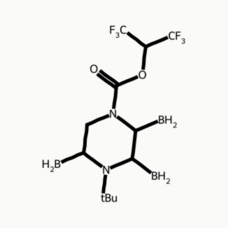 BC1C(B)N(C(C)(C)C)C(B)CN1C(=O)OC(C(F)(F)F)C(F)(F)F